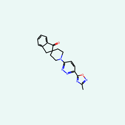 Cc1noc(-c2ccc(N3CCC4(CC3)Cc3ccccc3C4=O)nn2)n1